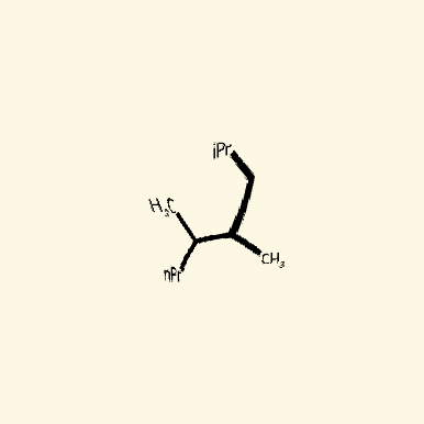 [CH2]C(C)CC(C)C(C)CCC